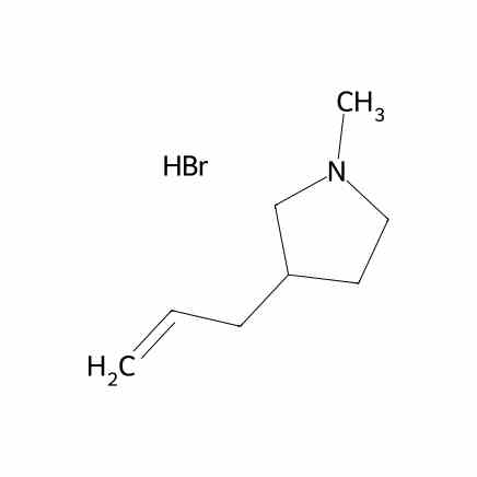 Br.C=CCC1CCN(C)C1